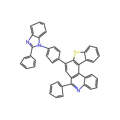 c1ccc(-c2nc3ccccc3c3c2cc(-c2ccc(-n4c(-c5ccccc5)nc5ccccc54)cc2)c2sc4ccccc4c23)cc1